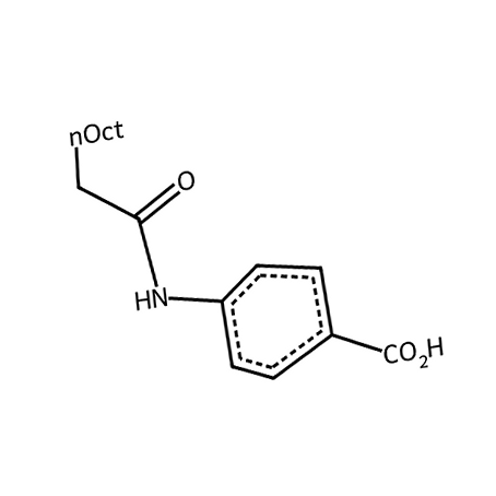 CCCCCCCCCC(=O)Nc1ccc(C(=O)O)cc1